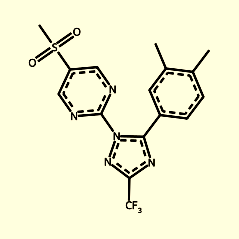 Cc1ccc(-c2nc(C(F)(F)F)nn2-c2ncc(S(C)(=O)=O)cn2)cc1C